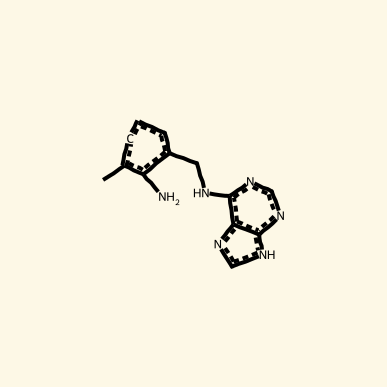 Cc1cccc(CNc2ncnc3[nH]cnc23)c1N